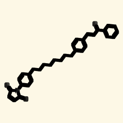 O=C(C=Cc1ccc(CCCCCCCCc2ccc(N3C(=O)C=CC3=O)cc2)cc1)c1ccccc1